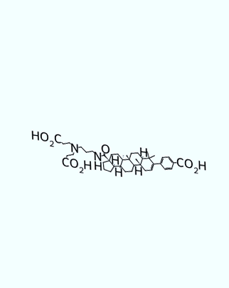 CC1(C)C(c2ccc(C(=O)O)cc2)=CC[C@]2(C)[C@H]3CC[C@@H]4[C@H]5CCC[C@]5(C(=O)NCCCN(CCC(=O)O)CCC(=O)O)CC[C@@]4(C)[C@]3(C)CC[C@@H]12